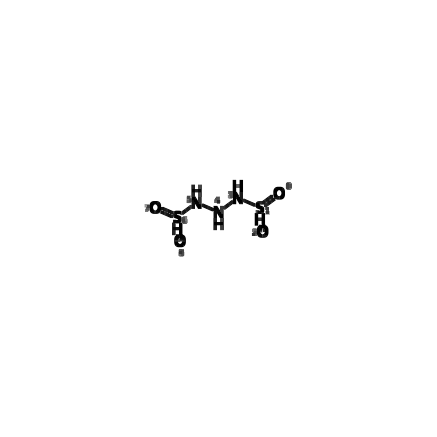 O=[SH](=O)NNN[SH](=O)=O